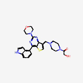 O=C(CO)N1CCN(Cc2csc3c(-c4cccc5[nH]ccc45)nc(N4CCOCC4)nc23)CC1